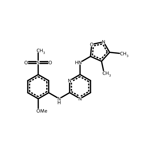 COc1ccc(S(C)(=O)=O)cc1Nc1nccc(Nc2onc(C)c2C)n1